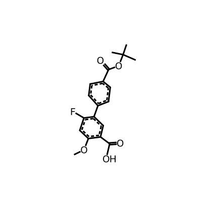 COc1cc(F)c(-c2ccc(C(=O)OC(C)(C)C)cc2)cc1C(=O)O